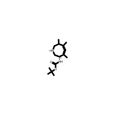 CC1=C=C(C)[C@H](NC(=O)OC(C)(C)C)CNCC1C